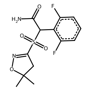 CC1(C)CC(S(=O)(=O)C(C(N)=O)c2c(F)cccc2F)=NO1